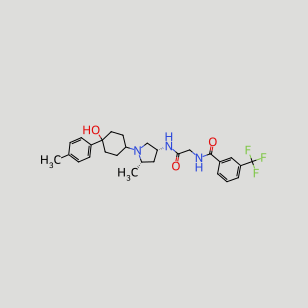 Cc1ccc(C2(O)CCC(N3C[C@H](NC(=O)CNC(=O)c4cccc(C(F)(F)F)c4)C[C@@H]3C)CC2)cc1